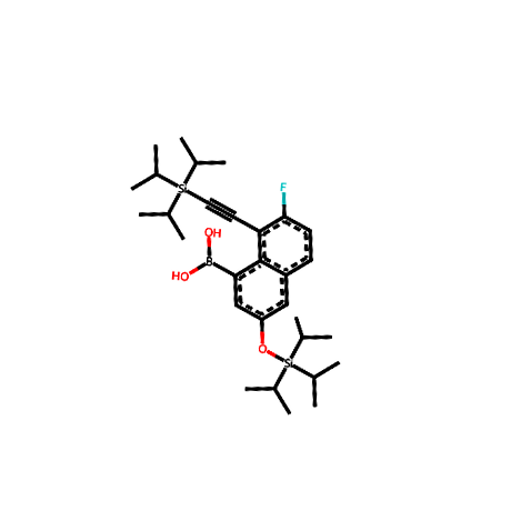 CC(C)[Si](C#Cc1c(F)ccc2cc(O[Si](C(C)C)(C(C)C)C(C)C)cc(B(O)O)c12)(C(C)C)C(C)C